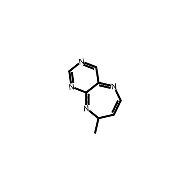 CC1C=CN=c2cncnc2=N1